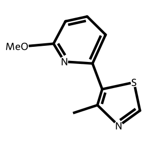 COc1cccc(-c2scnc2C)n1